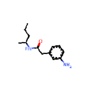 CCCC(C)NC(=O)Cc1cccc(N)c1